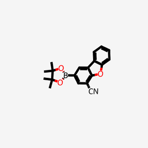 CC1(C)OB(c2cc(C#N)c3oc4ccccc4c3c2)OC1(C)C